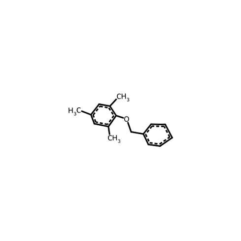 Cc1cc(C)c(OCc2ccccc2)c(C)c1